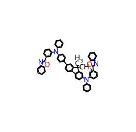 CC1(C)c2cc(-c3ccc(N(c4ccccc4)c4cccc(-c5nc6ccccc6o5)c4)cc3)ccc2-c2ccc(N(c3ccccc3)c3cccc(-c4nc5ccccc5o4)c3)cc21